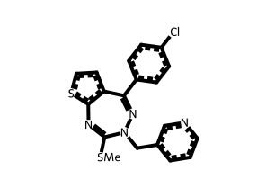 CSC1=Nc2sccc2C(c2ccc(Cl)cc2)=NN1Cc1cccnc1